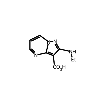 CCNc1nn2cccnc2c1C(=O)O